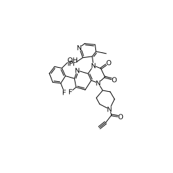 C#CC(=O)N1CCC(n2c(=O)c(=O)n(-c3c(C)ccnc3C(C)C)c3nc(-c4c(O)cccc4F)c(F)cc32)CC1